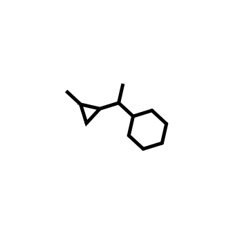 C[C]1CC1C(C)C1CCCCC1